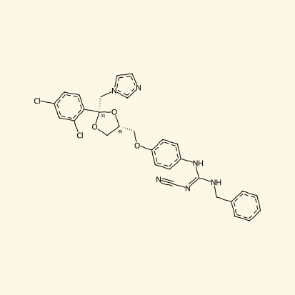 N#CN=C(NCc1ccccc1)Nc1ccc(OC[C@@H]2CO[C@@](Cn3ccnc3)(c3ccc(Cl)cc3Cl)O2)cc1